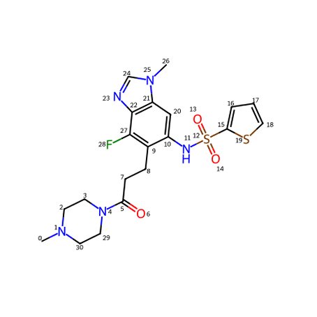 CN1CCN(C(=O)CCc2c(NS(=O)(=O)c3cccs3)cc3c(ncn3C)c2F)CC1